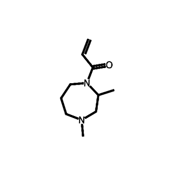 C=CC(=O)N1CCCN(C)CC1C